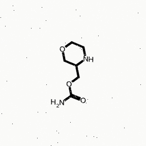 NC(=O)OCC1COCCN1